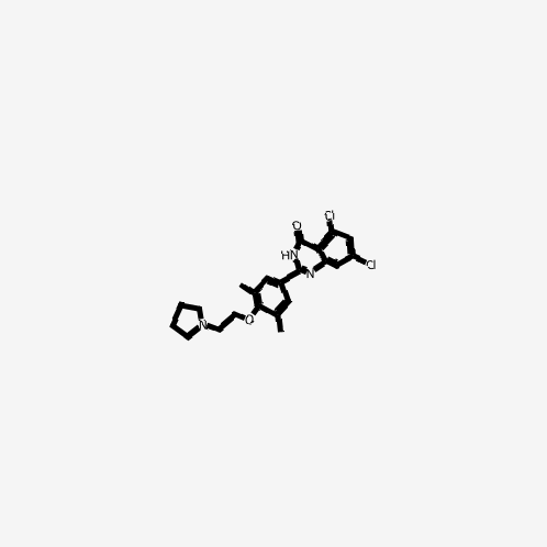 Cc1cc(-c2nc3cc(Cl)cc(Cl)c3c(=O)[nH]2)cc(C)c1OCCN1CCCC1